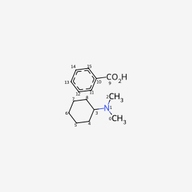 CN(C)C1CCCCC1.O=C(O)c1ccccc1